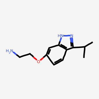 CC(C)c1n[nH]c2cc(OCCN)ccc12